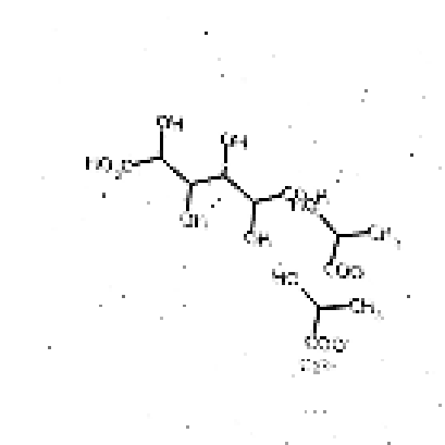 CC(O)C(=O)[O-].CC(O)C(=O)[O-].O=C(O)C(O)C(O)C(O)C(O)C(=O)O.[Ca+2]